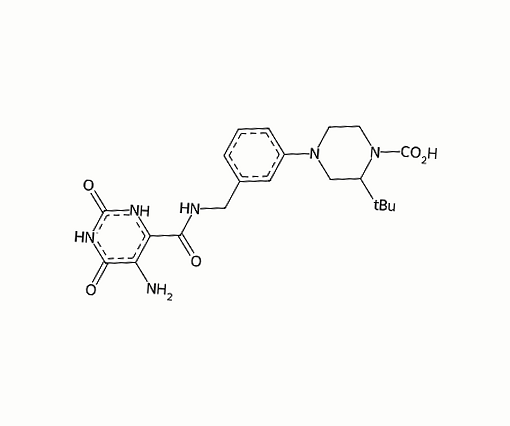 CC(C)(C)C1CN(c2cccc(CNC(=O)c3[nH]c(=O)[nH]c(=O)c3N)c2)CCN1C(=O)O